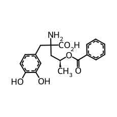 C[C@@H](CC(N)(Cc1ccc(O)c(O)c1)C(=O)O)OC(=O)c1ccccc1